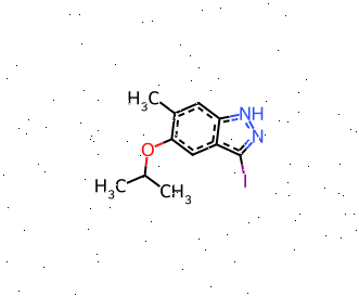 Cc1cc2[nH]nc(I)c2cc1OC(C)C